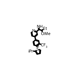 CCC(OC)C(=N)c1cc(-c2ccc([SH]3C=CC=C3C(C)C)c(C(F)(F)F)c2)ccn1